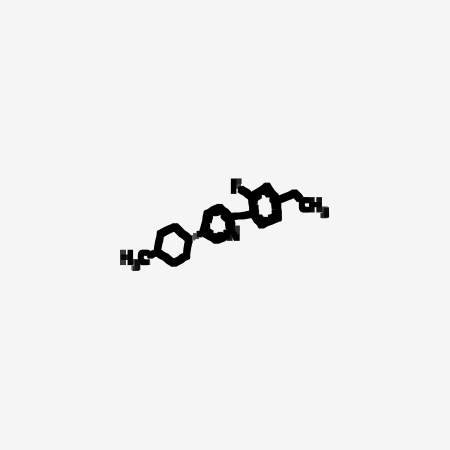 CCc1ccc(-c2ccc([C@H]3CC[C@H](C)CC3)cn2)c(F)c1